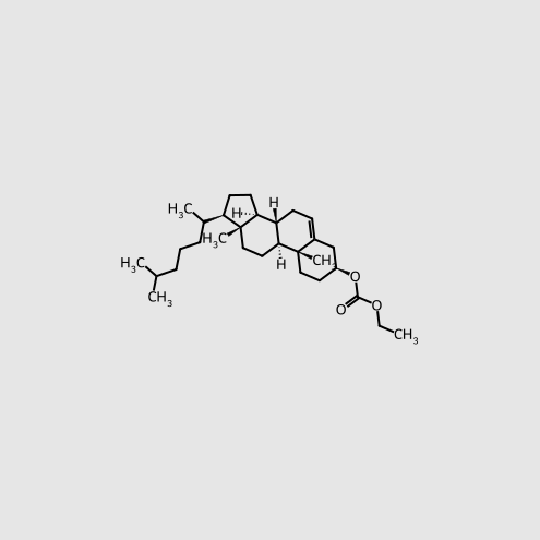 CCOC(=O)O[C@H]1CC[C@@]2(C)C(=CC[C@H]3[C@@H]4CC[C@H](C(C)CCCC(C)C)[C@@]4(C)CC[C@@H]32)C1